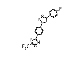 Fc1ccc(C2CC(c3ccc(-c4noc(C(F)(F)F)n4)cc3)=NO2)cc1